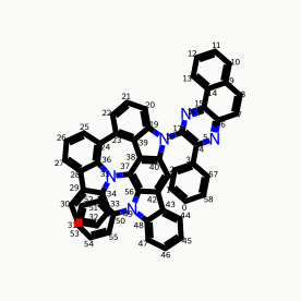 c1ccc(-c2nc3ccc4ccccc4c3nc2-n2c3cccc4c5cccc6c7ccccc7n(c56)c5c(c43)c2cc2c3ccccc3n(-c3ccccc3)c25)cc1